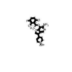 CCCN1CC=C(c2coc3c(O[C@H](C)c4c(Cl)ccc(F)c4Cl)c(N)ncc23)CC1